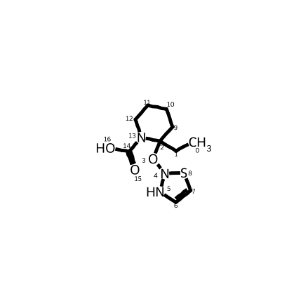 CCC1(ON2NC=CS2)CCCCN1C(=O)O